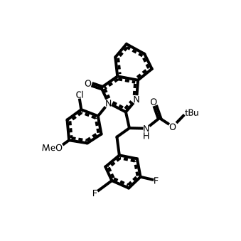 COc1ccc(-n2c(C(Cc3cc(F)cc(F)c3)NC(=O)OC(C)(C)C)nc3ccccc3c2=O)c(Cl)c1